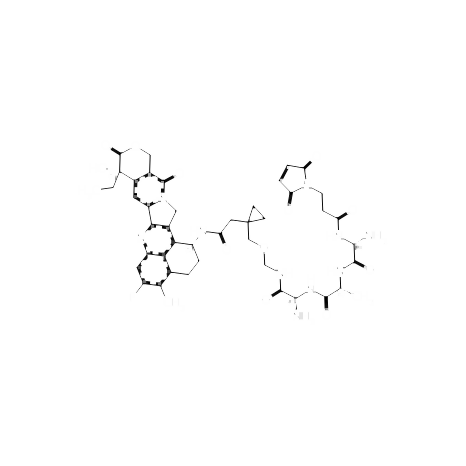 CC[C@@]1(O)C(=O)OCc2c1cc1n(c2=O)Cc2c-1nc1cc(F)c(C)c3c1c2[C@@H](NC(=O)CC1(COCNC(=O)[C@H](N)NC(=O)[C@H](C)NC(=O)[C@H](N)NC(=O)CCN2C(=O)C=CC2=O)CC1)CC3